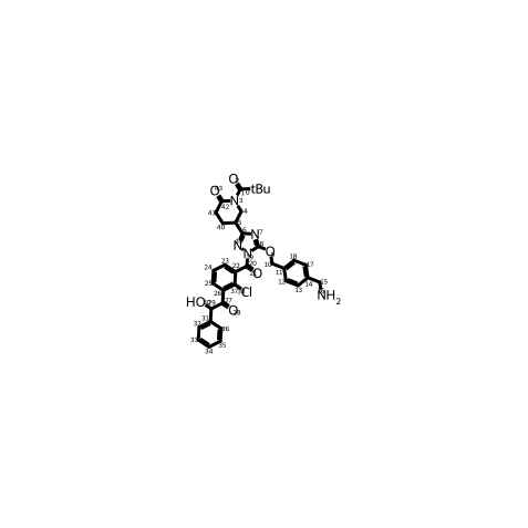 CC(C)(C)C(=O)N1CC(c2nc(OCc3ccc(CN)cc3)n(C(=O)c3cccc(C(=O)C(O)c4ccccc4)c3Cl)n2)CCC1=O